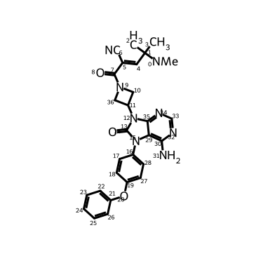 CNC(C)(C)C=C(C#N)C(=O)N1CC(n2c(=O)n(-c3ccc(Oc4ccccc4)cc3)c3c(N)ncnc32)C1